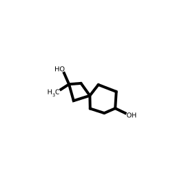 CC1(O)CC2(CCC(O)CC2)C1